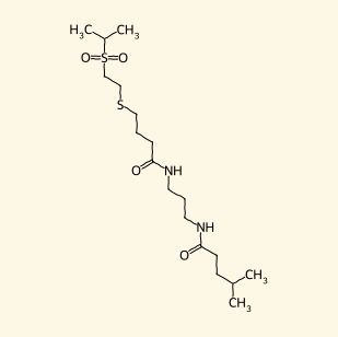 CC(C)CCC(=O)NCCCNC(=O)CCCSCCS(=O)(=O)C(C)C